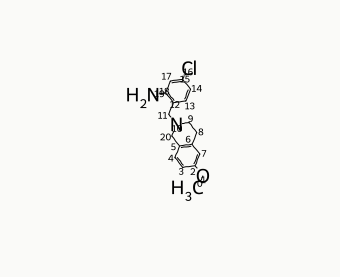 COc1ccc2c(c1)CCN(Cc1ccc(Cl)cc1N)C2